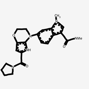 CNC(=O)c1cn(C)c2cc(N3CCOc4cc(C(=O)N5CCCC5)[nH]c43)ccc12